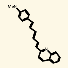 CNc1ccc(C=CC=CC=Cc2ccc3ccccc3n2)cc1